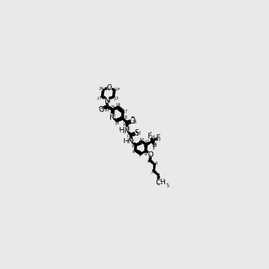 CCCCCOc1ccc(NC(=S)NC(=O)c2ccc(C(=O)N3CCOCC3)nc2)cc1C(F)(F)F